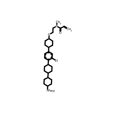 C=CC(=O)N(C)CCOC1CCC(c2ccc(C3CCC(C4CCC(CCCCC)CC4)CC3)c(CC)c2)CC1